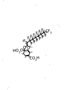 O=C(O)C1=CCC(OC(F)=C(F)C(F)(F)C(F)(F)C(F)(F)C(F)(F)C(F)(F)C(F)(F)C(F)(F)F)(C(=O)O)C=C1